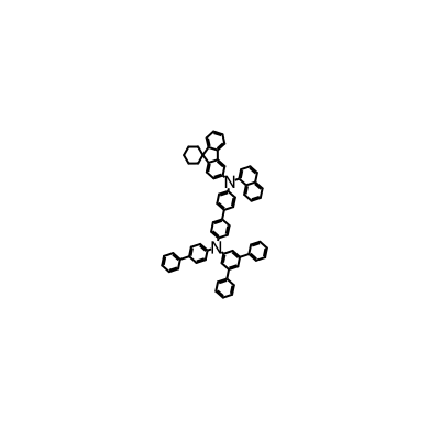 c1ccc(-c2ccc(N(c3ccc(-c4ccc(N(c5ccc6c(c5)-c5ccccc5C65CCCCC5)c5cccc6ccccc56)cc4)cc3)c3cc(-c4ccccc4)cc(-c4ccccc4)c3)cc2)cc1